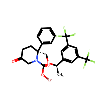 C[C@@H](OC[C@@]1(c2ccccc2)CCC(=O)CN1C(=O)OBr)c1cc(C(F)(F)F)cc(C(F)(F)F)c1